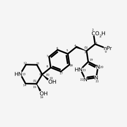 CCCC(C(=O)O)[C@H](Cc1ccc([C@@]2(O)CCNC[C@@H]2O)cc1)c1nnn[nH]1